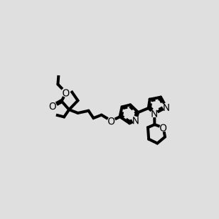 CCOC(=O)C(CC)(CC)CCCCOc1ccc(-c2ccnn2C2CCCCO2)nc1